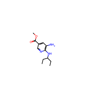 CCC(CC)Nc1ncc(C(=O)OC)cc1N